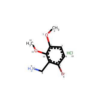 COc1ccc(Br)c(CN)c1OC.Cl